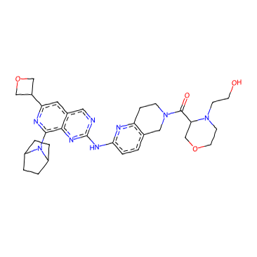 O=C(C1COCCN1CCO)N1CCc2nc(Nc3ncc4cc(C5COC5)nc(N5C6CCC5CC6)c4n3)ccc2C1